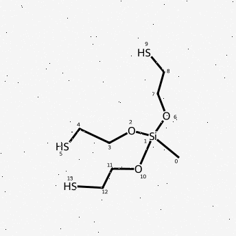 C[Si](OCCS)(OCCS)OCCS